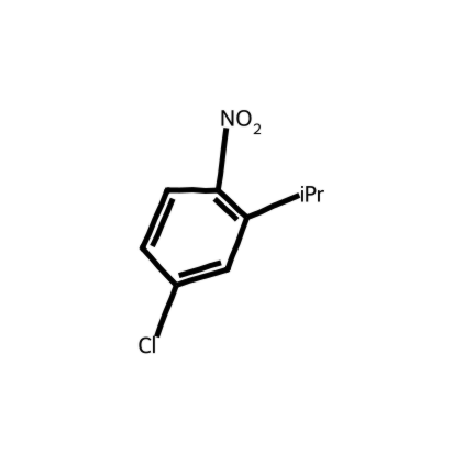 [CH2]C(C)c1cc(Cl)ccc1[N+](=O)[O-]